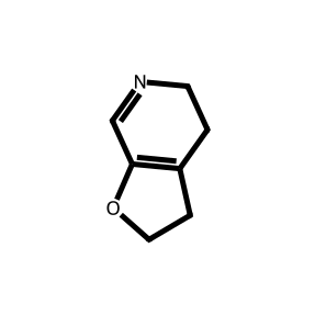 C1=NCCC2=C1OCC2